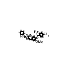 COc1cc(/C=C2/SC(NC3CCCCC3)=NC2=O)ccc1OCc1ccc(C(F)(F)F)cc1C(F)(F)F